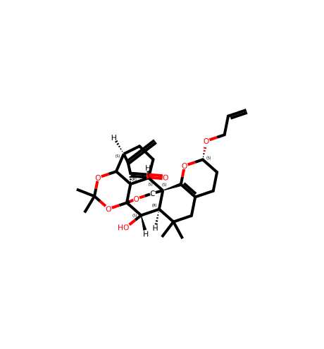 C=CCO[C@@H]1CCC2=C(O1)[C@@]13COC4(OC(C)(C)OC5[C@H]6CC[C@@H]1[C@]54C(=O)C6=C)[C@@H](O)[C@@H]3C(C)(C)C2